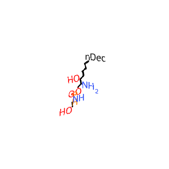 CCCCCCCCCCCCCC=CC(O)C(N)CO[PH](=O)NCCO